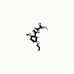 CCCOc1ccc(OC)c(-c2csc(C(N)=O)n2)c1